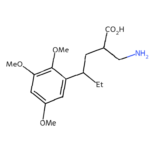 CCC(CC(CN)C(=O)O)c1cc(OC)cc(OC)c1OC